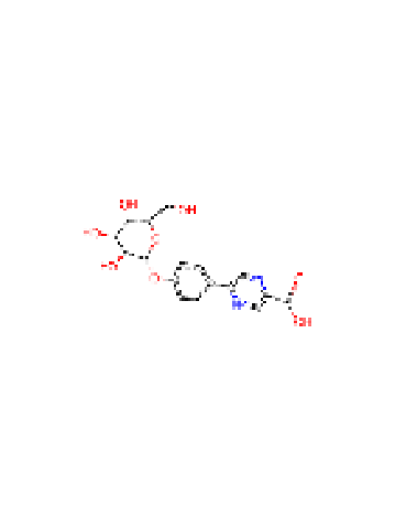 O=C(O)c1cnc(-c2ccc(O[C@H]3O[C@H](CO)[C@@H](O)[C@H](O)[C@@H]3O)cc2)cn1